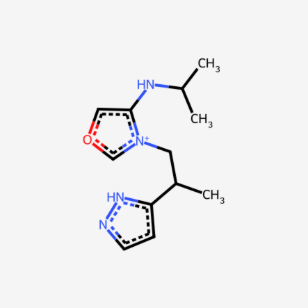 CC(C)Nc1coc[n+]1CC(C)c1ccn[nH]1